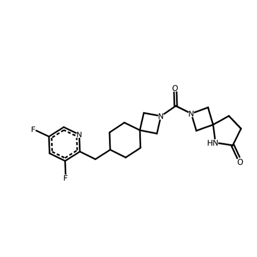 O=C1CCC2(CN(C(=O)N3CC4(CCC(Cc5ncc(F)cc5F)CC4)C3)C2)N1